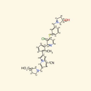 Cc1c(-c2cc3c(C#N)cc(CN4CC[C@@H](C(=O)O)C4)cn3c2)cccc1-c1nccc(Sc2cccc(CN3CC[C@@H](O)C3)c2)c1Cl